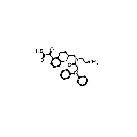 CCCN(CC1CCc2c(cccc2C(=O)C(=O)O)C1)C(=O)CN(c1ccccc1)c1ccccc1